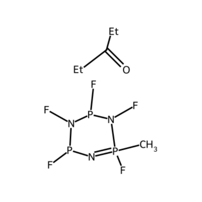 CCC(=O)CC.CP1(F)=NP(F)N(F)P(F)N1F